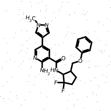 Cn1cc(-c2cnc(N)c(C(=O)NC3C(COc4ccccc4)CCC3(F)F)c2)cn1